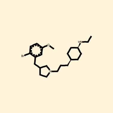 CCN[C@H]1CC[C@@H](CCCN2CCC(Cc3cc(OC)ccc3Br)C2)CC1